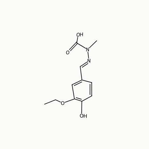 CCOc1cc(C=NN(C)C(=O)O)ccc1O